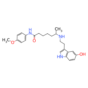 COc1ccc(NC(=O)CCCCC(C)NCCc2c[nH]c3ccc(O)cc23)cc1